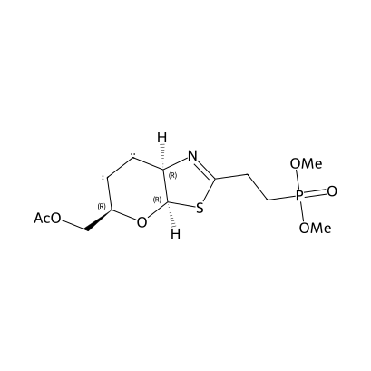 COP(=O)(CCC1=N[C@@H]2[C][C][C@H](COC(C)=O)O[C@@H]2S1)OC